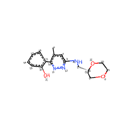 Cc1cc(NC[C@H]2COCCO2)nnc1-c1ccccc1O